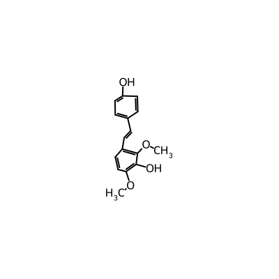 COc1ccc(C=Cc2ccc(O)cc2)c(OC)c1O